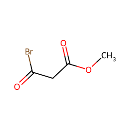 COC(=O)CC(=O)Br